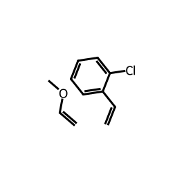 C=COC.C=Cc1ccccc1Cl